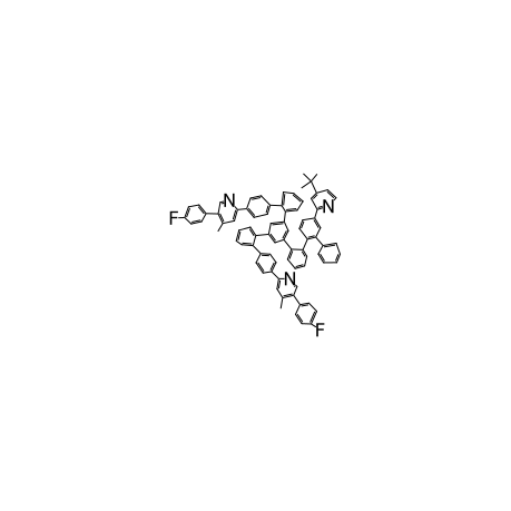 Cc1cc(-c2ccc(-c3ccccc3-c3cc(-c4ccccc4-c4ccc(-c5cc(C)c(-c6ccc(F)cc6)cn5)cc4)cc(-c4ccccc4-c4ccc(-c5cc(C(C)(C)C)ccn5)cc4-c4ccccc4)c3)cc2)ncc1-c1ccc(F)cc1